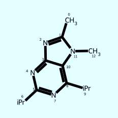 Cc1nc2nc(C(C)C)nc(C(C)C)c2n1C